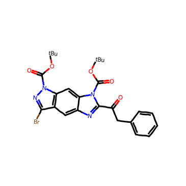 CC(C)(C)OC(=O)n1nc(Br)c2cc3nc(C(=O)Cc4ccccc4)n(C(=O)OC(C)(C)C)c3cc21